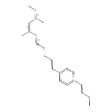 C\C=C(C)/C=C(C)\C=N\CCCCc1ccc(CCCC)cc1